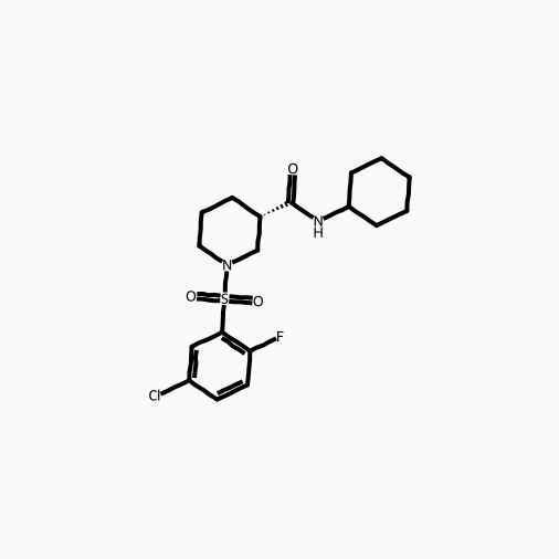 O=C(NC1CCCCC1)[C@H]1CCCN(S(=O)(=O)c2cc(Cl)ccc2F)C1